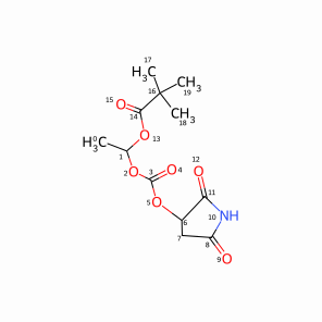 CC(OC(=O)OC1CC(=O)NC1=O)OC(=O)C(C)(C)C